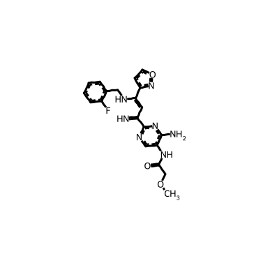 COCC(=O)Nc1cnc(C(=N)/C=C(\NCc2ccccc2F)c2ccon2)nc1N